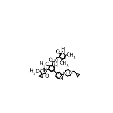 CCC1(C(=O)Nc2cc(-c3ccnc(N4CCN(CC5CC5)CC4)c3)cc(C(=O)NCc3c(C)cc(C)[nH]c3=O)c2C)CC1